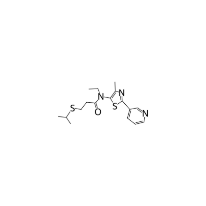 CCN(C(=O)CCSC(C)C)c1sc(-c2cccnc2)nc1C